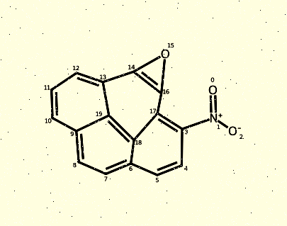 O=[N+]([O-])c1ccc2ccc3cccc4c5oc5c1c2c34